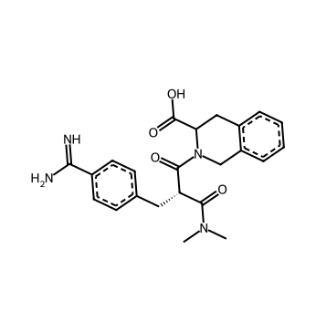 CN(C)C(=O)[C@H](Cc1ccc(C(=N)N)cc1)C(=O)N1Cc2ccccc2CC1C(=O)O